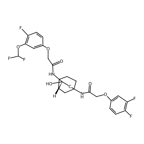 O=C(COc1ccc(F)c(F)c1)NC12CCC(NC(=O)COc3ccc(F)c(OC(F)F)c3)(CC1)[C@@H](O)C2